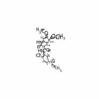 COC(=O)c1ccc(Cl)c(NC(=O)c2cc3cc(OC)c(OC)cc3[nH]c2=O)c1